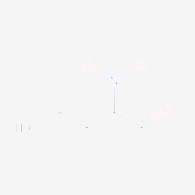 CCCC(C=O)[N+](=O)[O-]